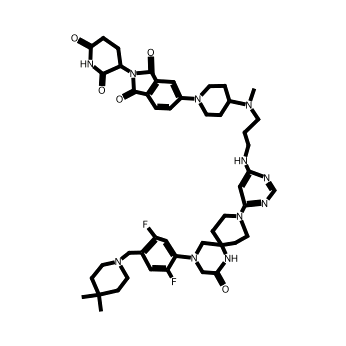 CN(CCCNc1cc(N2CCC3(CC2)CN(c2cc(F)c(CN4CCC(C)(C)CC4)cc2F)CC(=O)N3)ncn1)C1CCN(c2ccc3c(c2)C(=O)N(C2CCC(=O)NC2=O)C3=O)CC1